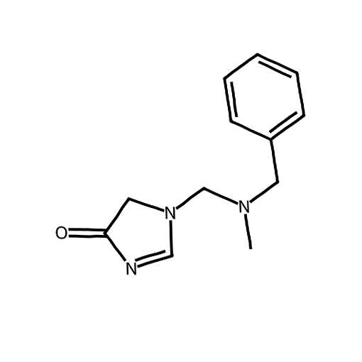 CN(Cc1ccccc1)CN1C=NC(=O)C1